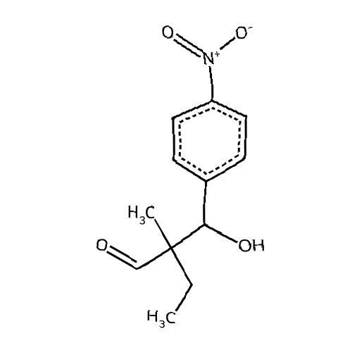 CCC(C)(C=O)C(O)c1ccc([N+](=O)[O-])cc1